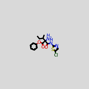 CCC(C)C(N)(C(=O)Nc1ncc(Cl)s1)C(=O)Oc1ccccc1